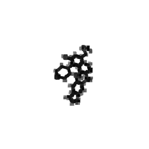 CCc1cc(=O)n(C2CCOCC2)c2nc(Nc3cn4ncnc4cc3C)ncc12